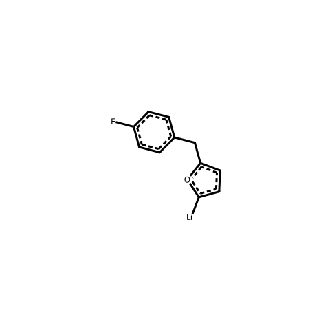 [Li][c]1ccc(Cc2ccc(F)cc2)o1